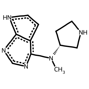 CN(c1ncnc2[nH]ccc12)[C@@H]1CCNC1